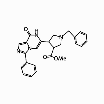 COC(=O)C1CN(Cc2ccccc2)CC1c1cn2c(-c3ccccc3)ncc2c(=O)[nH]1